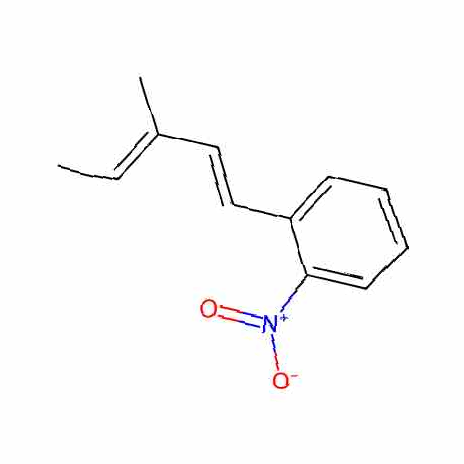 CC=C(C)C=Cc1ccccc1[N+](=O)[O-]